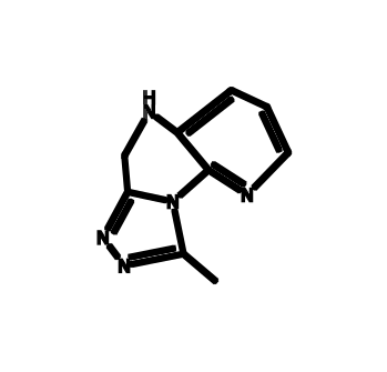 Cc1nnc2n1-c1ncccc1NC2